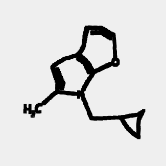 Cc1cc2ccoc2n1CC1CC1